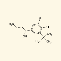 CC(C)(C)c1cc([C@H](O)CCN)cc(F)c1Cl